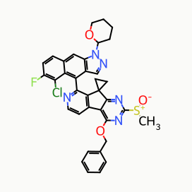 C[S+]([O-])c1nc(OCc2ccccc2)c2c(n1)C1(CC1)c1c-2ccnc1-c1c2cnn(C3CCCCO3)c2cc2ccc(F)c(Cl)c12